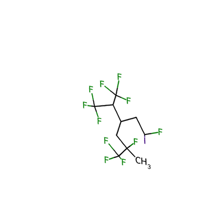 CC(F)(CC(CC(F)I)C(C(F)(F)F)C(F)(F)F)C(F)(F)F